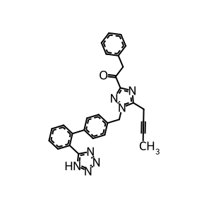 CC#CCc1nc(C(=O)Cc2ccccc2)nn1Cc1ccc(-c2ccccc2-c2nnn[nH]2)cc1